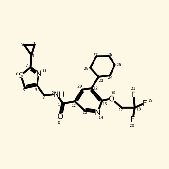 O=C(NCc1csc(C2CC2)n1)c1cnc(OCC(F)(F)F)c(C2CCCCC2)c1